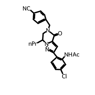 CCCC1CN(Cc2ccc(C#N)cc2)C(=O)c2cc(-c3ccc(Cl)cc3NC(C)=O)nn21